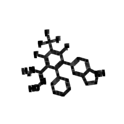 NC(=NO)c1c(F)c(C(F)(F)F)c(F)c(-c2ccc3[nH]ccc3c2)c1-c1ccccc1